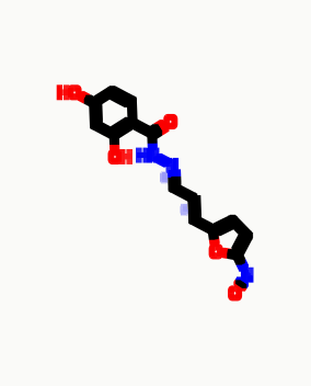 O=Nc1ccc(/C=C/C=N/NC(=O)c2ccc(O)cc2O)o1